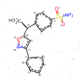 NS(=O)(=O)c1ccc(C(C(=O)O)c2cc(-c3ccccc3)no2)cc1